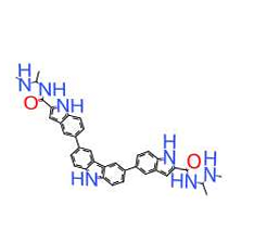 CNC(C)NC(=O)c1cc2cc(-c3ccc4[nH]c5ccc(-c6ccc7[nH]c(C(=O)NC(C)NC)cc7c6)cc5c4c3)ccc2[nH]1